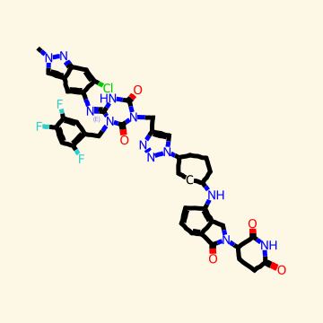 Cn1cc2cc(/N=c3\[nH]c(=O)n(Cc4cn(C5CCCC(Nc6cccc7c6CN(C6CCC(=O)NC6=O)C7=O)CC5)nn4)c(=O)n3Cc3cc(F)c(F)cc3F)c(Cl)cc2n1